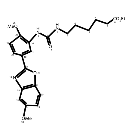 CCOC(=O)CCCCCNC(=O)Nc1cc(-c2nc3cc(OC)ccc3o2)ccc1OC